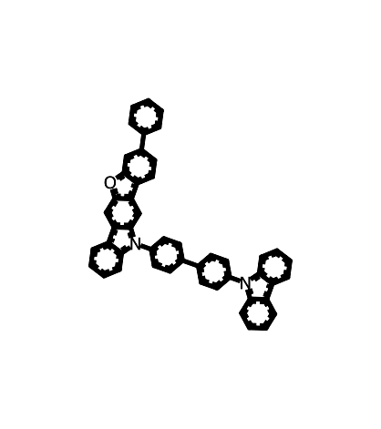 c1ccc(-c2ccc3c(c2)oc2cc4c5ccccc5n(-c5ccc(-c6ccc(-n7c8ccccc8c8ccccc87)cc6)cc5)c4cc23)cc1